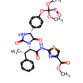 COC(=O)c1csc(NC(=O)[C@H]([C@@H](C)c2ccccc2)N2C(=O)N[C@H](c3ccc(OC(OC)(OC)P=O)cc3)C2=O)n1